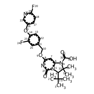 CC(C)(C)C1n2c(cc(OCc3ccc(Oc4ccc(F)nc4)c(F)c3)nc2=O)N(C(=O)O)C1(C)C